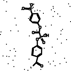 CC(=O)c1ccc(OP(=O)(O)C(=O)Oc2ccc([N+](=O)[O-])cc2)cc1